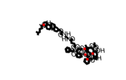 CC(=O)O[C@H]1C(=O)[C@@]2(C)[C@H]([C@H](OC(=O)c3ccccc3)[C@]3(O)C[C@H](OC(=O)[C@H](OC(=O)CCC(=O)NCCNC(=O)OC4CC[C@@]5(C)C(=CC[C@H]6[C@@H]7CC[C@H]([C@H](C)CCCC(C)C)[C@@]7(C)CC[C@@H]65)C4)[C@@H](NC(=O)c4ccccc4)c4ccccc4)C(C)=C1C3(C)C)[C@]1(OC(C)=O)CC[C@@H]1C[C@@H]2O